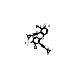 CCc1c(C(F)(F)F)ccc(Sc2ccc(C(F)(F)F)c(CC)c2C#CC2CC2)c1C#CC1CC1